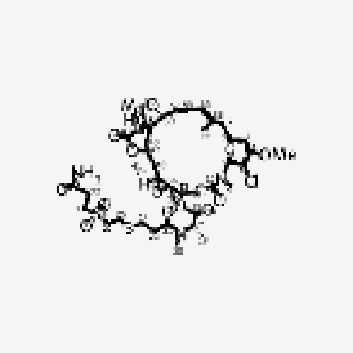 COc1cc2cc(c1Cl)N(C)C(=O)C[C@H](OC(=O)[C@H](C)N(C)C(=O)CCSCCS(=O)(=O)CCC(N)=O)[C@]1(C)O[C@@H]1[C@H](C)C1C[C@@](O)(NC(=O)O1)[C@H](OC)/C=C/C=C(\C)C2